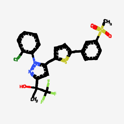 CC(O)(c1cc(-c2ccc(-c3cccc(S(C)(=O)=O)c3)s2)n(-c2ccccc2Cl)n1)C(F)(F)F